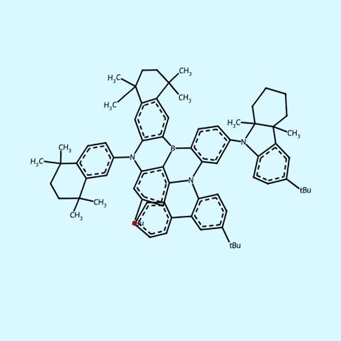 CC(C)(C)c1ccc(N2c3cc(N4c5ccc(C(C)(C)C)cc5C5(C)CCCCC45C)ccc3B3c4cc5c(cc4N(c4ccc6c(c4)C(C)(C)CCC6(C)C)c4cc(C(C)(C)C)cc2c43)C(C)(C)CCC5(C)C)c(-c2ccccc2)c1